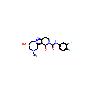 CN1Cc2c3c(nn2C[C@@H](O)C1)CCN(C(=O)Nc1ccc(F)c(Cl)c1)C3=O